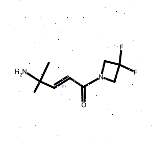 CC(C)(N)/C=C/C(=O)N1CC(F)(F)C1